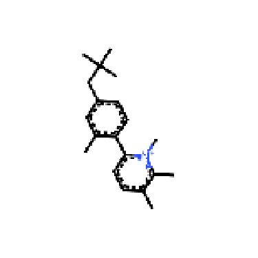 Cc1cc(CC(C)(C)C)ccc1-c1ccc(C)c(C)[n+]1C